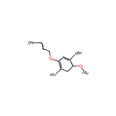 CCCCOC1CC(C(C)(C)C)=C(OCCCN=O)C=C1C(C)(C)C